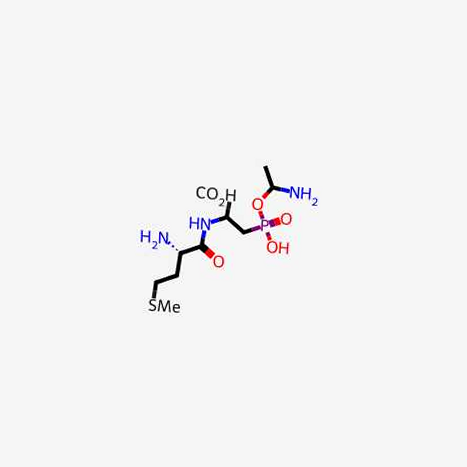 CSCC[C@H](N)C(=O)NC(CP(=O)(O)OC(C)N)C(=O)O